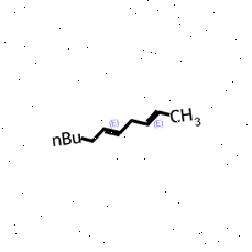 [CH2]CCCC/C=C/C/C=C/C